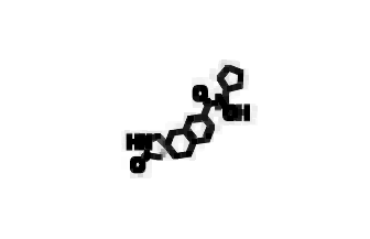 O=C1C[C@]2(CCc3ccc(C(=O)N(O)C4CCCC4)cc3C2)CN1